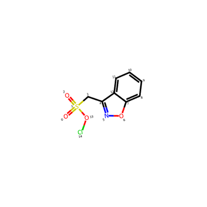 O=S(=O)(Cc1noc2ccccc12)OCl